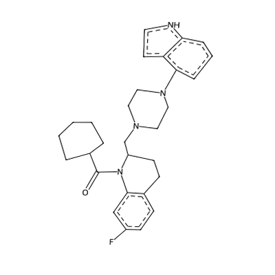 O=C(C1CCCCC1)N1c2cc(F)ccc2CCC1CN1CCN(c2cccc3[nH]ccc23)CC1